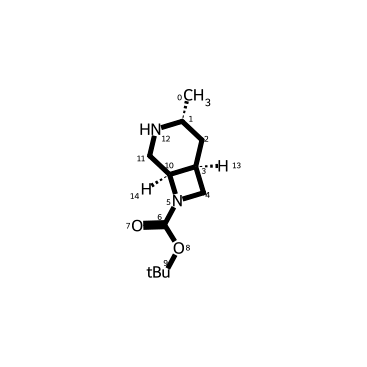 C[C@@H]1C[C@H]2CN(C(=O)OC(C)(C)C)[C@H]2CN1